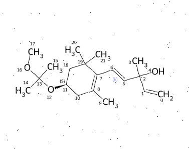 C=CC(C)(O)/C=C/C1=C(C)C[C@@H](OC(C)(C)OC)CC1(C)C